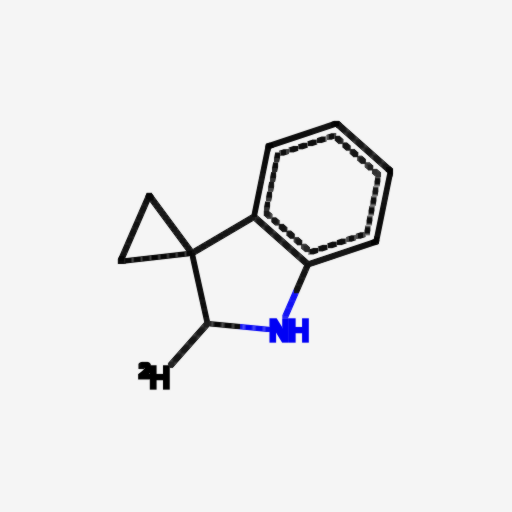 [2H]C1Nc2ccccc2C12CC2